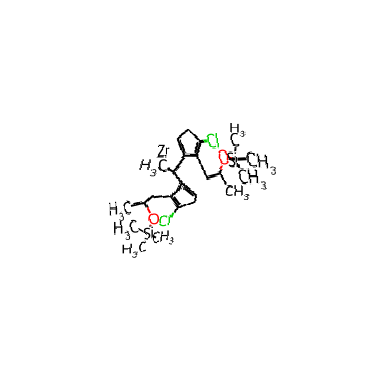 CC(CC1=C(Cl)CC=C1C(C)C1=CCC(Cl)=C1CC(C)O[Si](C)(C)C)O[Si](C)(C)C.[Zr]